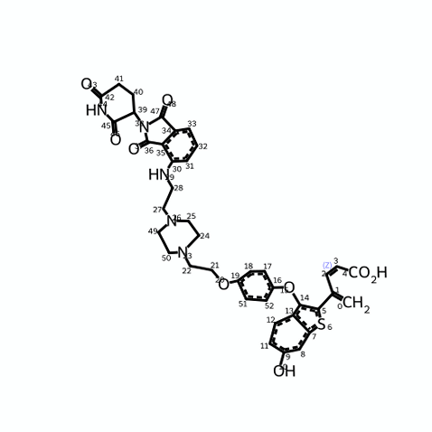 C=C(/C=C\C(=O)O)c1sc2cc(O)ccc2c1Oc1ccc(OCCN2CCN(CCNc3cccc4c3C(=O)N(C3CCC(=O)NC3=O)C4=O)CC2)cc1